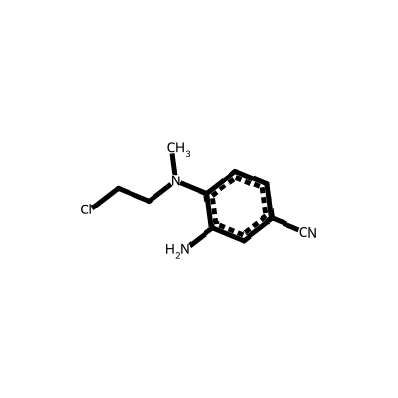 CN(CCCl)c1ccc(C#N)cc1N